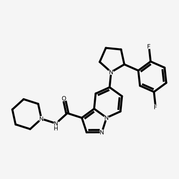 O=C(NN1CCCCC1)c1cnn2ccc(N3CCCC3c3cc(F)ccc3F)cc12